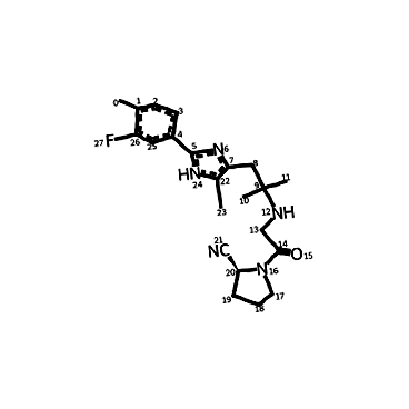 Cc1ccc(-c2nc(CC(C)(C)NCC(=O)N3CCC[C@H]3C#N)c(C)[nH]2)cc1F